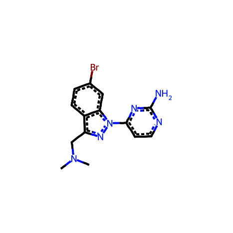 CN(C)Cc1nn(-c2ccnc(N)n2)c2cc(Br)ccc12